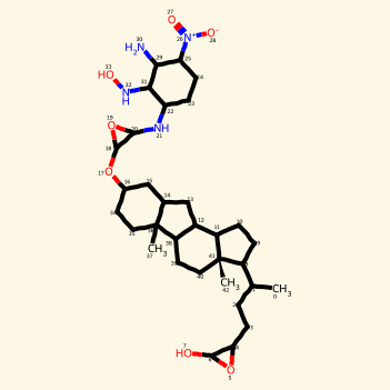 CC(CCC1OC1O)C1CCC2C3CC4CC(OC5OC5NC5CCC([N+](=O)[O-])C(N)C5NO)CCC4(C)C3CC[C@@]12C